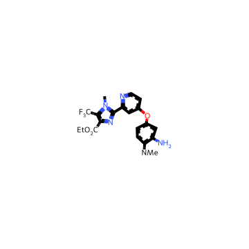 CCOC(=O)c1nc(-c2cc(Oc3ccc(NC)c(N)c3)ccn2)n(C)c1C(F)(F)F